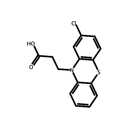 O=C(O)CCN1c2ccccc2Sc2ccc(Cl)cc21